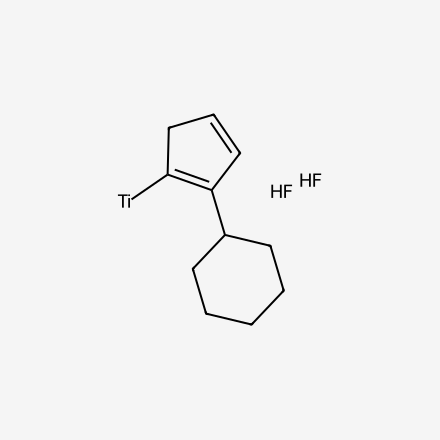 F.F.[Ti][C]1=C(C2CCCCC2)C=CC1